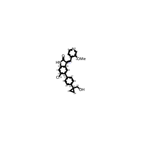 COc1cnccc1/C=C1\C(=O)Nc2cc(Cl)c(-c3ccc(C4(CO)CC4)cc3)cc21